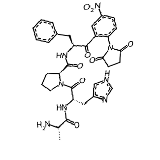 C[C@H](N)C(=O)N[C@@H](Cc1c[nH]cn1)C(=O)N1CCC[C@H]1C(=O)N[C@@H](Cc1ccccc1)C(=O)c1cc([N+](=O)[O-])ccc1N1C(=O)CCC1=O